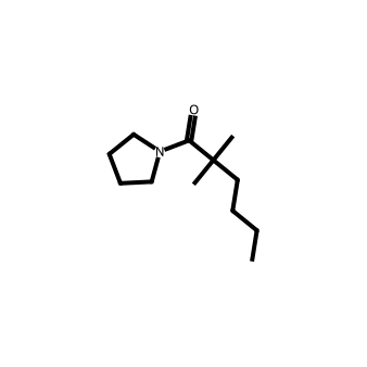 CCCCC(C)(C)C(=O)N1CCCC1